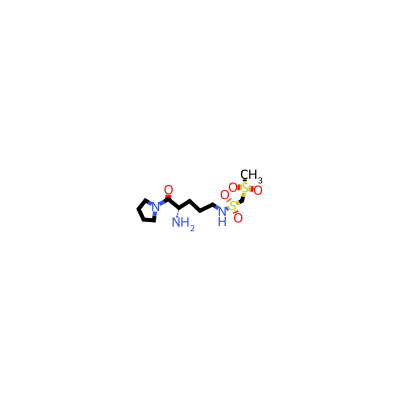 CS(=O)(=O)CS(=O)(=O)NCCC[C@H](N)C(=O)N1CCCC1